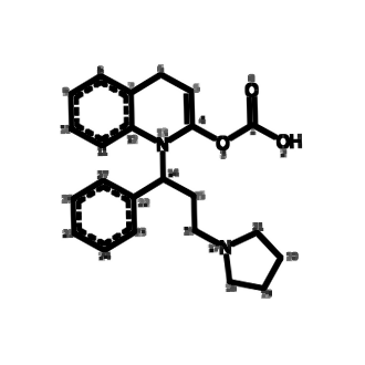 O=C(O)OC1=CCc2ccccc2N1C(CCN1CCCC1)c1ccccc1